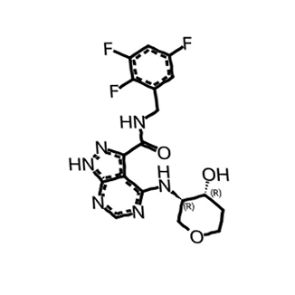 O=C(NCc1cc(F)cc(F)c1F)c1n[nH]c2ncnc(N[C@@H]3COCC[C@H]3O)c12